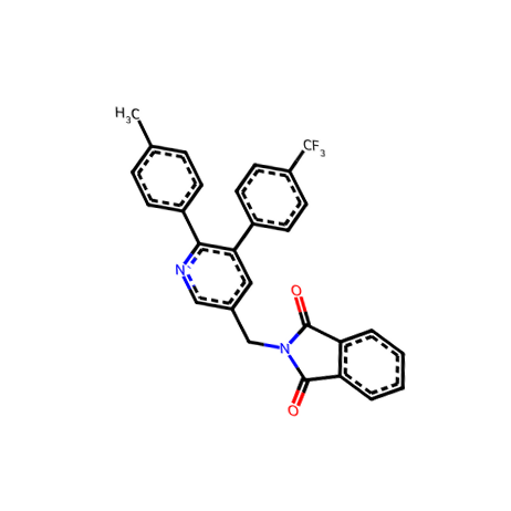 Cc1ccc(-c2ncc(CN3C(=O)c4ccccc4C3=O)cc2-c2ccc(C(F)(F)F)cc2)cc1